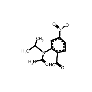 CC(C)N(C(N)=O)c1cc([N+](=O)[O-])ccc1C(=O)O